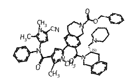 Cc1c(N(C(=O)c2cc(-c3cc4c(cc3C(=O)N3Cc5ccccc5C[C@H]3CN3CCCCC3)CN(C(=O)OCc3ccccc3)CC4)n(C)c2C)c2ccccc2)cc(C#N)n1C